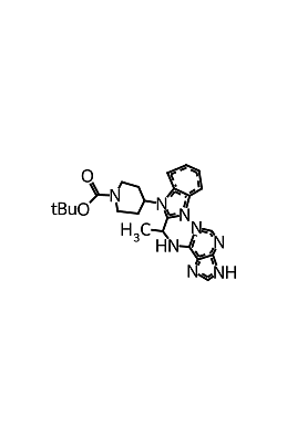 CC(Nc1ncnc2[nH]cnc12)c1nc2ccccc2n1C1CCN(C(=O)OC(C)(C)C)CC1